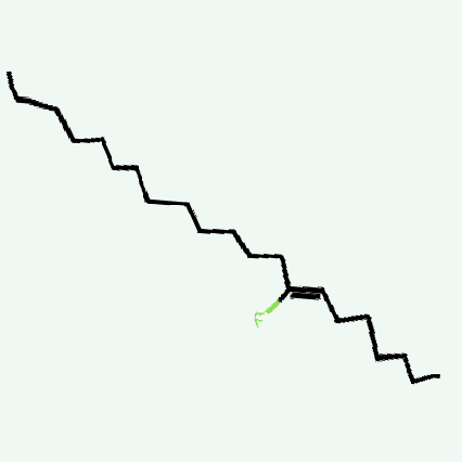 CCCCCCC=C(F)CCCCCCCCCCCCC